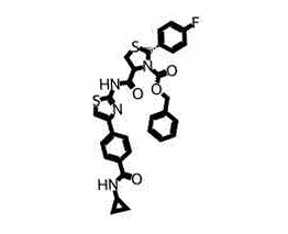 O=C(NC1CC1)c1ccc(-c2csc(NC(=O)C3CS[C@H](c4ccc(F)cc4)N3C(=O)OCc3ccccc3)n2)cc1